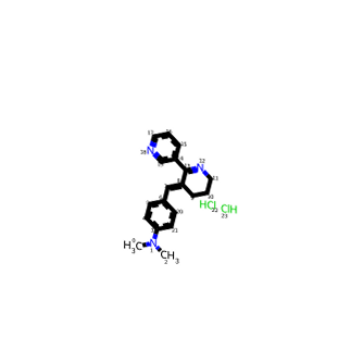 CN(C)c1ccc(/C=C2\CCCN=C2c2cccnc2)cc1.Cl.Cl